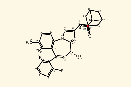 C[C@@H]1N=C(c2c(F)cccc2F)c2c(ccc(C(F)(F)F)c2Cl)-n2nc(NC(=O)N3C4CC3CS(=O)(=O)C4)nc21